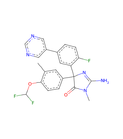 Cc1cc(C2(c3cc(-c4cncnc4)ccc3F)N=C(N)N(C)C2=O)ccc1OC(F)F